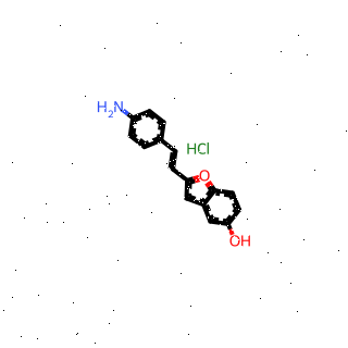 Cl.Nc1ccc(/C=C/c2cc3cc(O)ccc3o2)cc1